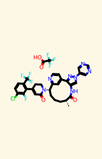 C[C@@H]1CCC[C@H](N2CCC(c3c(C(F)(F)F)ccc(Cl)c3F)=CC2=O)c2cc(ccn2)-c2nn(-c3cncnc3)cc2NC1=O.O=C(O)C(F)(F)F